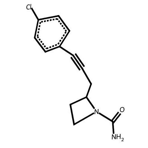 NC(=O)N1CCC1CC#Cc1ccc(Cl)cc1